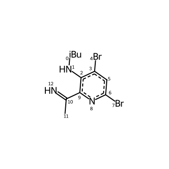 CCC(C)Nc1c(Br)cc(Br)nc1C(C)=N